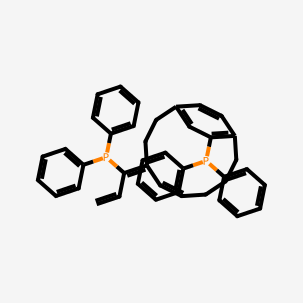 C=C/C(=C1\C=C/CCCc2ccc(cc2P(c2ccccc2)c2ccccc2)CC1)P(c1ccccc1)c1ccccc1